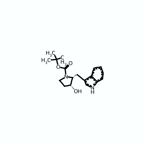 CC(C)(C)OC(=O)N1CC[C@@H](O)[C@H]1Cc1c[nH]c2ccccc12